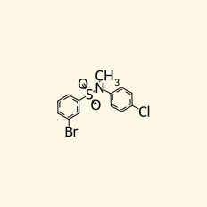 CN(c1ccc(Cl)cc1)S(=O)(=O)c1cccc(Br)c1